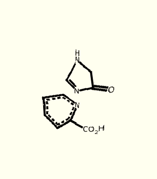 O=C(O)c1ccccn1.O=C1CNC=N1